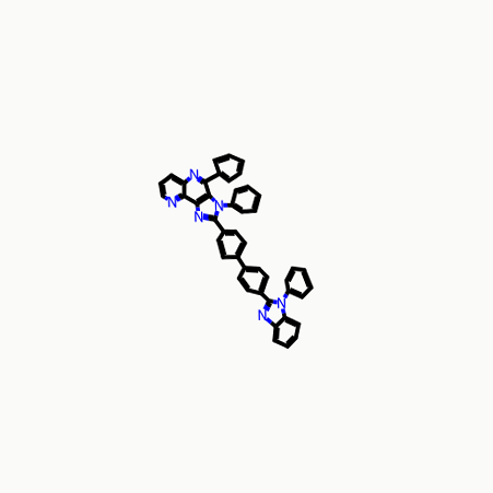 c1ccc(-c2nc3cccnc3c3nc(-c4ccc(-c5ccc(-c6nc7ccccc7n6-c6ccccc6)cc5)cc4)n(-c4ccccc4)c23)cc1